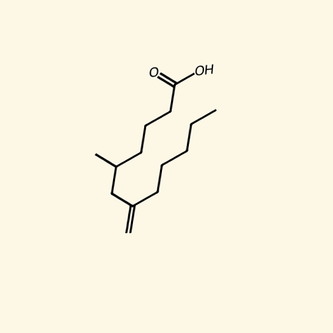 C=C(CCCCC)CC(C)CCCC(=O)O